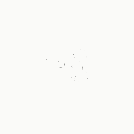 CC1(C)CCCC2C3CCCCC3C(C(C)(C)C3(C)CCCCC3)C21